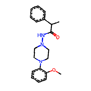 COc1ccccc1N1CCN(NC(=O)C(C)c2ccccc2)CC1